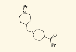 CC(C)C(=O)C1CCN(CC2CCN(C(C)C)CC2)CC1